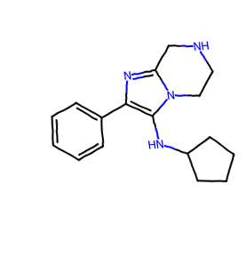 c1ccc(-c2nc3n(c2NC2CCCC2)CCNC3)cc1